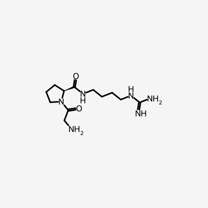 N=C(N)NCCCCNC(=O)[C@@H]1CCCN1C(=O)CN